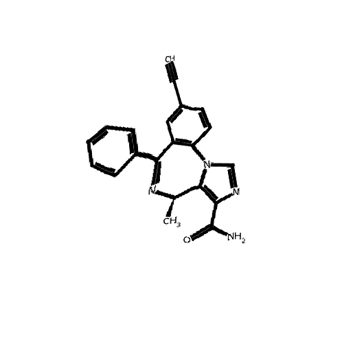 C#Cc1ccc2c(c1)C(c1ccccc1)=N[C@H](C)c1c(C(N)=O)ncn1-2